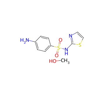 CO.Nc1ccc(S(=O)(=O)Nc2nccs2)cc1